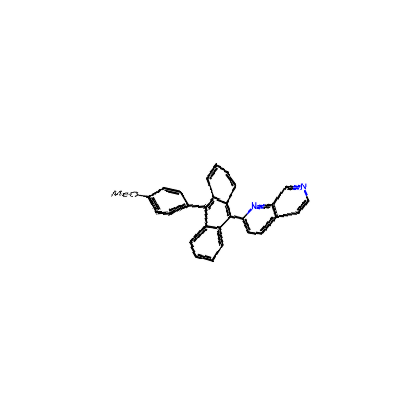 COc1ccc(-c2c3ccccc3c(-c3ccc4ccncc4n3)c3ccccc23)cc1